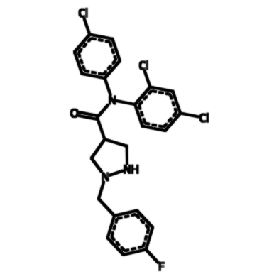 O=C(C1CNN(Cc2ccc(F)cc2)C1)N(c1ccc(Cl)cc1)c1ccc(Cl)cc1Cl